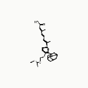 COC(C)OCOc1ccc(/C(C)=C/C=C/C(C)=C/C(=O)O)cc1C12CC3CC(CC(C3)C1)C2